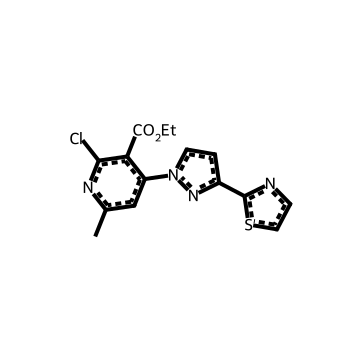 CCOC(=O)c1c(-n2ccc(-c3nccs3)n2)cc(C)nc1Cl